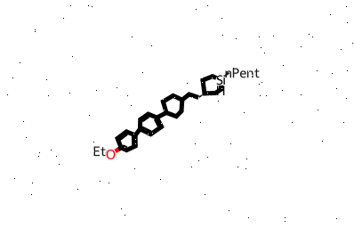 CCCCC[Si@H]1CC[C@H](CCC2CCC(c3ccc(-c4ccc(OCC)cc4)cc3)CC2)CC1